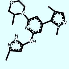 Cc1cc(Nc2cc(-c3c(C)cnn3C)cc(N3CCOCC3C)n2)[nH]n1